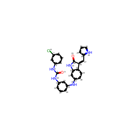 O=C(Nc1cccc(Cl)c1)Nc1cccc(Nc2ccc3c(c2)NC(=O)C3=Cc2ccc[nH]2)c1